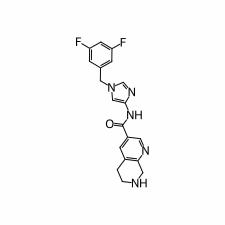 O=C(Nc1cn(Cc2cc(F)cc(F)c2)cn1)c1cnc2c(c1)CCNC2